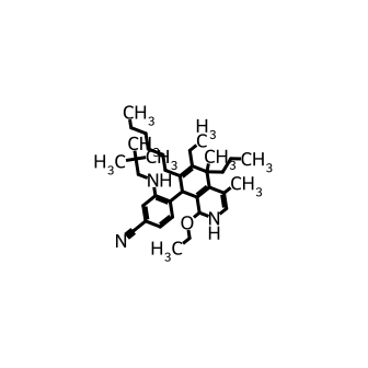 CCCCCCC1=C(CC)C(C)(CCC)C2=C(C(OCC)NC=C2C)C1c1ccc(C#N)cc1NCC(C)(C)C